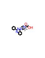 CC(O)(C(=O)N1CCN(c2nc(-c3ccccc3)nc3ccccc23)CC1)C(F)(F)F